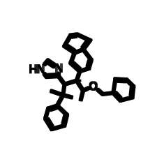 CC(OCc1ccccc1)[C](c1ccc2ccccc2c1)C(c1c[nH]cn1)C(C)(C)c1ccccc1